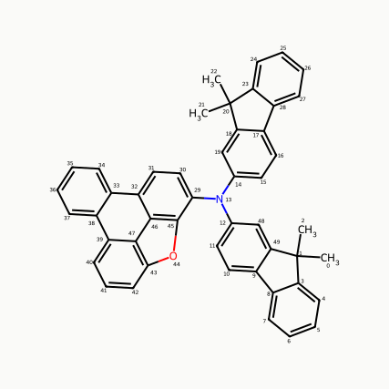 CC1(C)c2ccccc2-c2ccc(N(c3ccc4c(c3)C(C)(C)c3ccccc3-4)c3ccc4c5ccccc5c5cccc6oc3c4c65)cc21